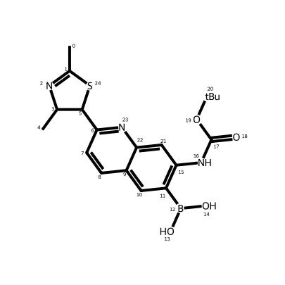 CC1=NC(C)C(c2ccc3cc(B(O)O)c(NC(=O)OC(C)(C)C)cc3n2)S1